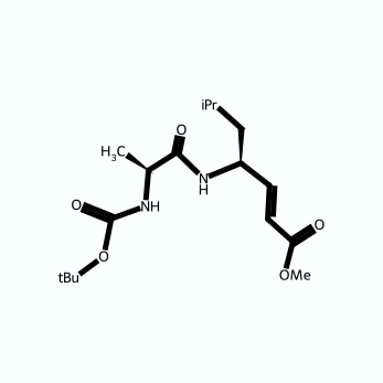 COC(=O)/C=C/[C@H](CC(C)C)NC(=O)[C@H](C)NC(=O)OC(C)(C)C